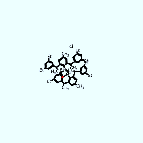 CCc1cc(CC)cc(C(C)c2cc(C)cc(C(C)c3cc(CC)cc(CC)c3)c2N2C=[N+](c3c(C(C)c4cc(CC)cc(CC)c4)cc(C)cc3C(C)c3cc(CC)cc(CC)c3)CC2)c1.[Cl-]